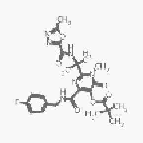 Cc1nnc(C(=O)NC(C)(C)c2nc(C(=O)NCc3ccc(F)cc3)c(OC(=O)C(C)(C)C)c(=O)n2C)o1